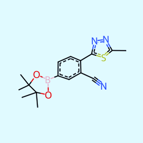 Cc1nnc(-c2ccc(B3OC(C)(C)C(C)(C)O3)cc2C#N)s1